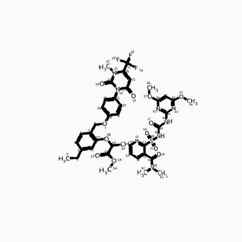 CCc1ccc(COc2ccc(-n3c(=O)cc(C(F)(F)F)n(C)c3=O)cc2)c(OC(C)C(=O)OC)c1.COc1cc(OC)nc(NC(=O)NS(=O)(=O)c2ncccc2C(=O)N(C)C)n1